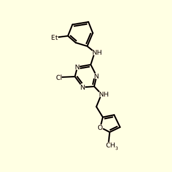 CCc1cccc(Nc2nc(Cl)nc(NCc3ccc(C)o3)n2)c1